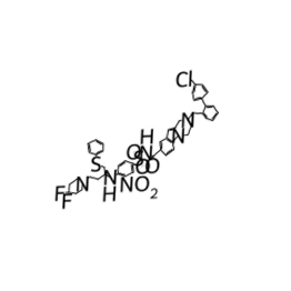 O=C(NS(=O)(=O)c1ccc(NC(CCN2CCC(F)(F)CC2)CSc2ccccc2)c([N+](=O)[O-])c1)c1ccc2c(c1)cc1n2CCN(Cc2ccccc2-c2ccc(Cl)cc2)C1